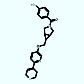 CC(C)(C)c1ccc(C(=O)N2CC3C(CNc4ccc(C5=CCOCC5)nc4)C3C2)cc1